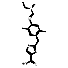 CCN(C)C=Nc1cc(C)c(Cc2nc(C(=O)O)cs2)cc1C